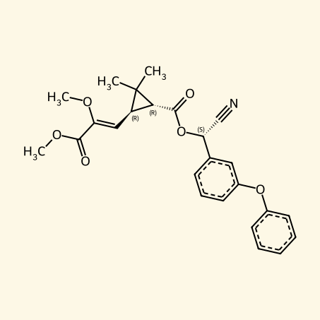 COC(=O)C(=C[C@@H]1[C@@H](C(=O)O[C@H](C#N)c2cccc(Oc3ccccc3)c2)C1(C)C)OC